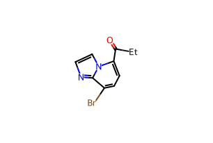 CCC(=O)c1ccc(Br)c2nccn12